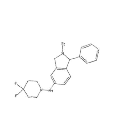 CCN1Cc2cc(NN3CCC(F)(F)CC3)ccc2C1c1ccccc1